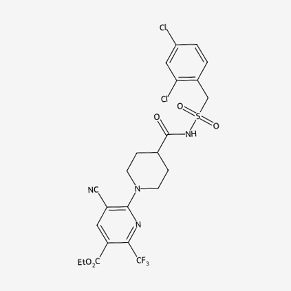 CCOC(=O)c1cc(C#N)c(N2CCC(C(=O)NS(=O)(=O)Cc3ccc(Cl)cc3Cl)CC2)nc1C(F)(F)F